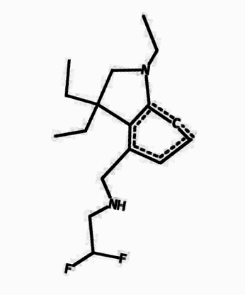 CCN1CC(CC)(CC)c2c(CNCC(F)F)cccc21